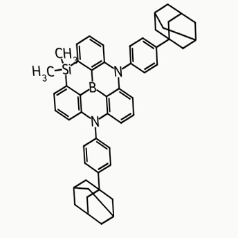 C[Si]1(C)c2cccc3c2B2c4c(cccc4N(c4ccc(C56CC7CC(CC(C7)C5)C6)cc4)c4cccc1c42)N3c1ccc(C23CC4CC(CC(C4)C2)C3)cc1